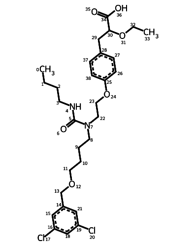 CCCCNC(=O)N(CCCCOCc1cc(Cl)cc(Cl)c1)CCOc1ccc(CC(OCC)C(=O)O)cc1